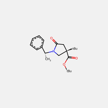 CCCC[C@]1(C(=O)OC(C)(C)C)CC(=O)N([C@H](C)c2ccccc2)C1